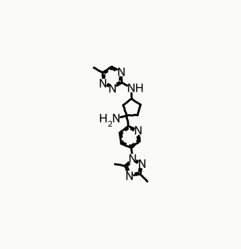 Cc1cnc(NC2CCC(N)(c3ccc(-n4nc(C)nc4C)cn3)C2)nn1